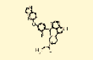 C=CC(=O)N1CCC(c2c[nH]c3ncnc(Nc4ccc(Oc5ccc6nccn6n5)cc4F)c23)CC1